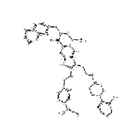 Cc1ccccc1N1CCN(CCCn2c(CCc3ccc(C(=N)N)cc3)nc3cc(C(=O)N(CCN)Cc4ccc5ccccc5c4)ccc32)CC1